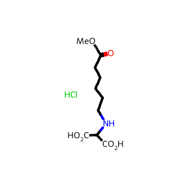 COC(=O)CCCCCNC(C(=O)O)C(=O)O.Cl